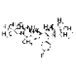 C=C(/C=C\C(N)=C(/C)N(CC(C)(C)C)C(=C)N)/C(C)=C(/N=C(\C)C(C)(C)C)c1ccc(F)cc1